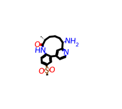 C[C@@H]1CCC[C@H](N)c2cc(ccn2)-c2cc(S(C)(=O)=O)ccc2NC1=O